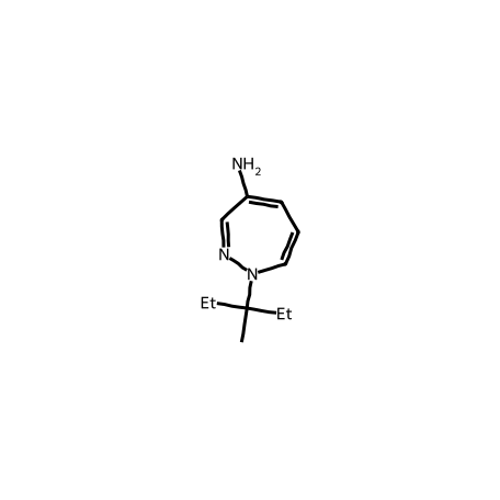 CCC(C)(CC)N1C=CC=C(N)C=N1